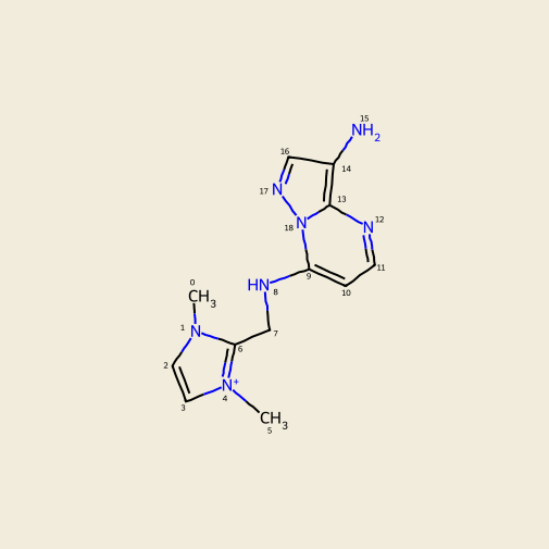 Cn1cc[n+](C)c1CNc1ccnc2c(N)cnn12